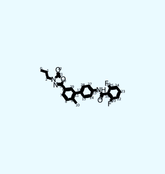 CCCn1nc(-c2ccc(C)c(-c3ccc(NC(=O)c4c(F)cccc4F)cc3)c2)oc1=O